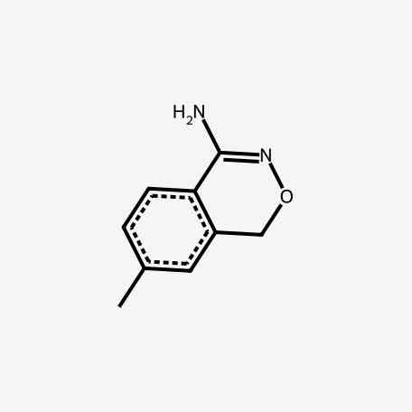 Cc1ccc2c(c1)CON=C2N